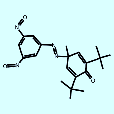 CC1(N=Nc2cc(N=O)cc(N=O)c2)C=C(C(C)(C)C)C(=O)C(C(C)(C)C)=C1